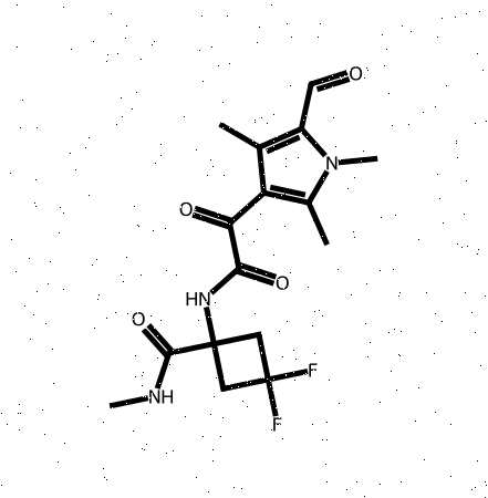 CNC(=O)C1(NC(=O)C(=O)c2c(C)c(C=O)n(C)c2C)CC(F)(F)C1